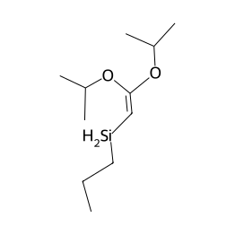 CCC[SiH2]C=C(OC(C)C)OC(C)C